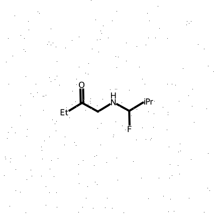 CCC(=O)CNC(F)C(C)C